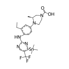 CCc1cc(N2CCN(C(=O)O)C[C@@H]2C)ccc1Nc1ncc(C(F)(F)F)[c]([Sn]([CH3])([CH3])[CH3])n1